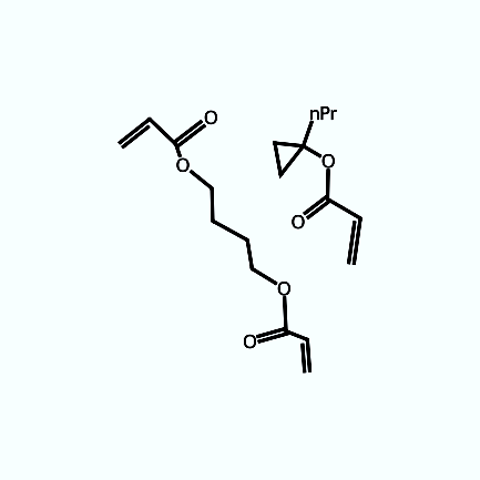 C=CC(=O)OC1(CCC)CC1.C=CC(=O)OCCCCOC(=O)C=C